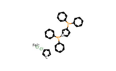 [Cl-].[Cl-].[Fe+2].c1cc[cH-]c1.c1ccc(P(c2ccccc2)c2cc[c-](P(c3ccccc3)c3ccccc3)c2)cc1